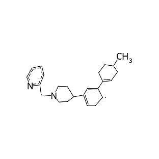 CC1CC=C(C2=CC(C3CCN(Cc4ccccn4)CC3)=CC[CH]2)CC1